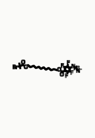 CC(C)(Br)C(=O)OCCCCCCCCCCCCOC(=O)c1c(F)c(F)c(N=[N+]=[N-])c(F)c1F